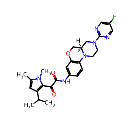 Cc1cc(C(C)C)c(C(=O)C(=O)Nc2ccc3c(c2)OC[C@H]2CN(c4ncc(F)cn4)CCN32)n1C